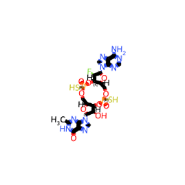 Cc1nc2c(ncn2[C@@H]2O[C@@H]3CO[P@@](=O)(S)O[C@H]4[C@@H](F)[C@H](n5cnc6c(N)ncnc65)O[C@@H]4CO[P@@](=O)(S)O[C@H]3[C@H]2O)c(=O)[nH]1